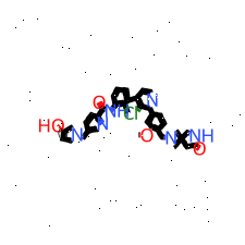 COc1cc(-c2nccc(-c3cccc(NC(=O)c4ccc(CN5CC[C@@H](O)C5)cn4)c3C)c2Cl)ccc1CN1CC2(CNC(=O)C2)C1